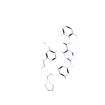 CCCc1ccc(Oc2nc(Nc3ccc(OCCN4CCCC4)c(F)c3)ncc2C(=O)Nc2c(C)cccc2C)c(OC)c1